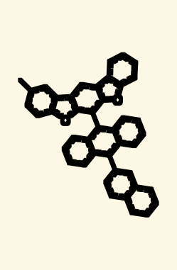 Cc1ccc2oc3c(-c4c5ccccc5c(-c5ccc6ccccc6c5)c5ccccc45)c4oc5ccccc5c4cc3c2c1